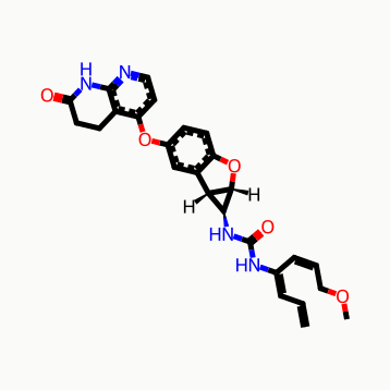 C=C/C=C(\C=C/COC)NC(=O)N[C@@H]1[C@H]2Oc3ccc(Oc4ccnc5c4CCC(=O)N5)cc3[C@@H]12